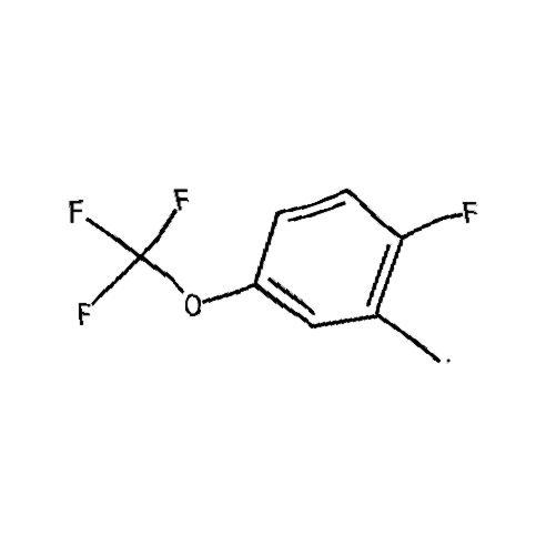 [CH2]c1cc(OC(F)(F)F)ccc1F